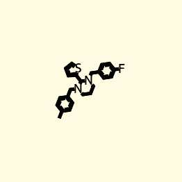 Cc1ccc(CN2CCCN(Cc3ccc(F)cc3)C2c2cccs2)cc1